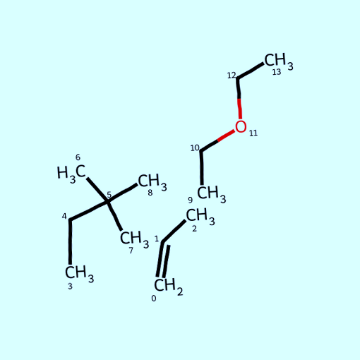 C=CC.CCC(C)(C)C.CCOCC